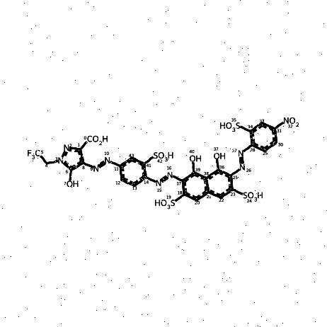 O=C(O)c1nn(CC(F)(F)F)c(O)c1/N=N/c1ccc(/N=N/c2c(S(=O)(=O)O)cc3cc(S(=O)(=O)O)c(/N=N/c4ccc([N+](=O)[O-])cc4S(=O)(=O)O)c(O)c3c2O)c(S(=O)(=O)O)c1